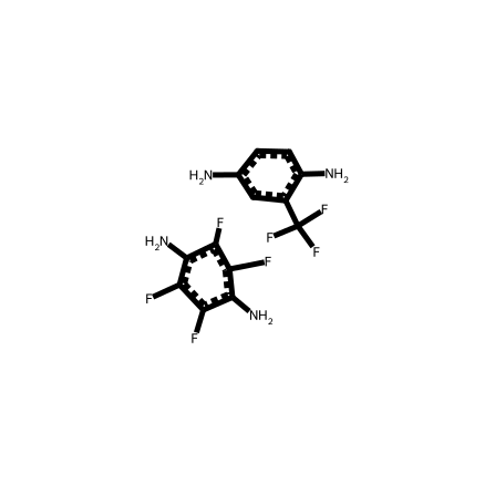 Nc1c(F)c(F)c(N)c(F)c1F.Nc1ccc(N)c(C(F)(F)F)c1